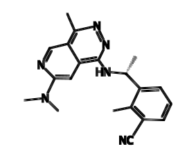 Cc1c(C#N)cccc1[C@@H](C)Nc1nnc(C)c2cnc(N(C)C)cc12